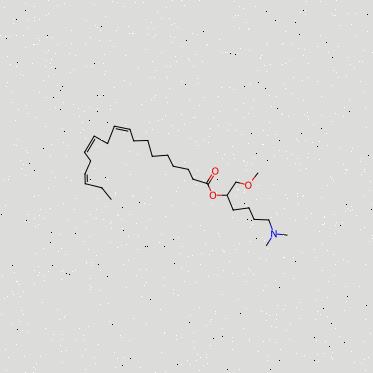 CC/C=C\C/C=C\C/C=C\CCCCCCCC(=O)OC(CCCCN(C)C)COC